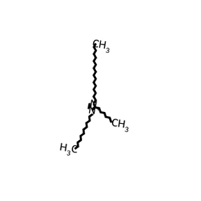 CCCCCCCCCCCCCCCCCn1cc[n+](CCCCCCCCCCCC)c1CCCCCCC